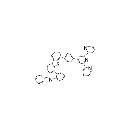 c1ccc(-c2nc3ccccc3c3c2ccc2c4cccc(-c5ccc(-c6cc(-c7ccccn7)nc(-c7ccccn7)c6)cc5)c4sc23)cc1